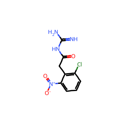 N=C(N)NC(=O)Cc1c(Cl)cccc1[N+](=O)[O-]